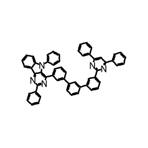 c1ccc(-c2cc(-c3ccccc3)nc(-c3cccc(-c4cccc(-c5cccc(-c6nc(-c7ccccc7)nc7c8ccccc8n(-c8ccccc8)c67)c5)c4)c3)n2)cc1